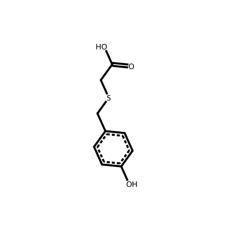 O=C(O)CSCc1ccc(O)cc1